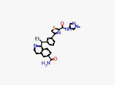 CCC(c1cccc(-c2csc(C(=O)Nc3cnn(C)c3)n2)c1)c1nccc2cc(C(N)=O)ccc12